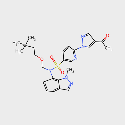 CC(=O)c1cnn(-c2ccc(S(=O)(=O)N(COCC[Si](C)(C)C)c3cccc4cnn(C)c34)cn2)c1